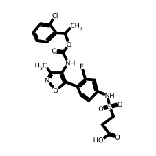 Cc1noc(-c2ccc(NS(=O)(=O)CCC(=O)O)cc2F)c1NC(=O)OC(C)c1ccccc1Cl